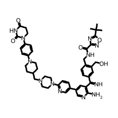 CC(C)(C)c1nc(C(=O)NCc2ccc(C(=N)c3cc(-c4ccc(N5CCN(CC6CCN(c7ccc(N8CCC(=O)NC8=O)cc7)CC6)CC5)nc4)cnc3N)cc2CO)no1